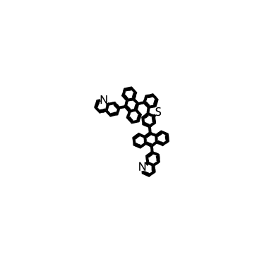 c1cnc2cc(-c3c4ccccc4c(-c4ccc5c(c4)sc4cccc(-c6c7ccccc7c(-c7ccc8cccnc8c7)c7ccccc67)c45)c4ccccc34)ccc2c1